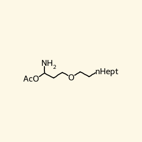 CCCCCCCCCOCCC(N)OC(C)=O